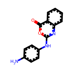 Nc1ccc(Nc2nc3ccccc3c(=O)o2)cc1